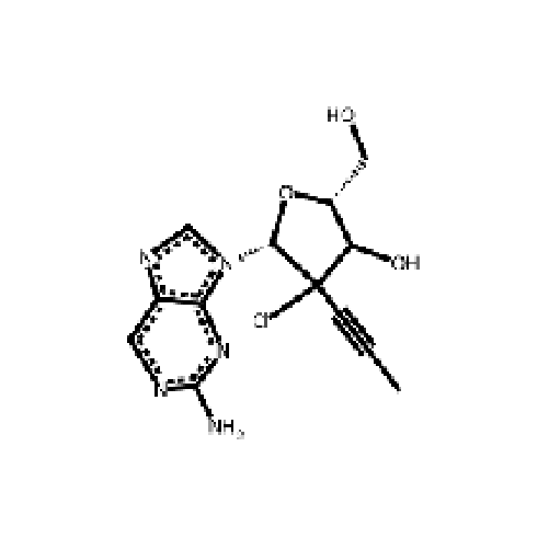 CC#CC1(Cl)C(O)[C@@H](CO)O[C@H]1n1cnc2cnc(N)nc21